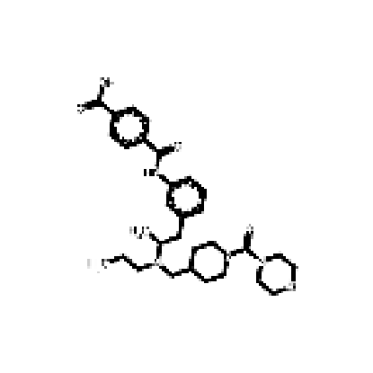 CCCN(CC1CCN(C(=O)N2CCOCC2)CC1)C(C)Cc1cccc(NC(=O)c2ccc(C(=O)O)cc2)c1